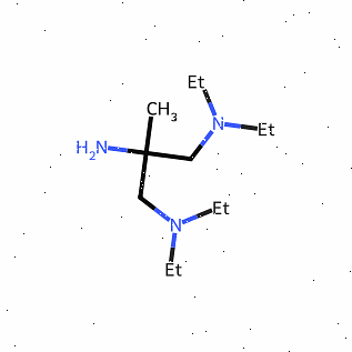 CCN(CC)CC(C)(N)CN(CC)CC